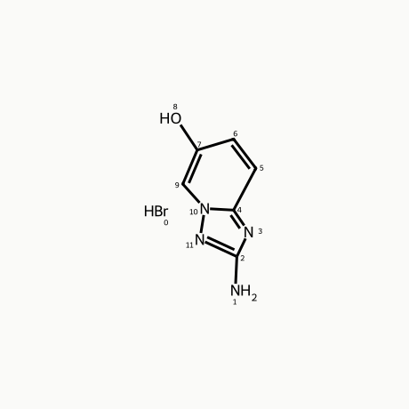 Br.Nc1nc2ccc(O)cn2n1